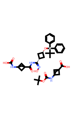 CC(C)(C)OC(=O)NC12CC(C(=O)O)(C1)C2.CC(C)(C)[Si](O[C@H]1C[C@@H](C(=NO)NC(=O)C23CC(NC(=O)O)(C2)C3)C1)(c1ccccc1)c1ccccc1